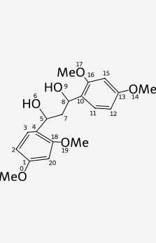 COc1ccc(C(O)CC(O)c2ccc(OC)cc2OC)c(OC)c1